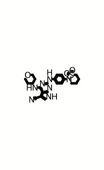 N#Cc1c[nH]c2nc(Nc3ccc(N4CCCCS4(=O)=O)cc3)nc(NC3CCOCC3)c12